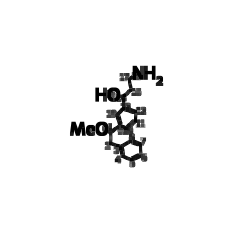 COC(Cc1ccccc1)c1cccc(C(O)CCN)c1